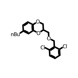 CCCCc1ccc2c(c1)OC(COCc1c(Cl)cccc1Cl)CO2